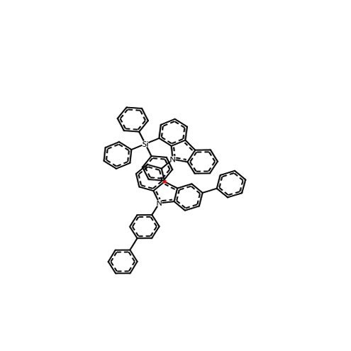 c1ccc(-c2ccc(-n3c4ccc(-c5ccccc5)cc4c4c(-n5c6ccccc6c6cccc([Si](c7ccccc7)(c7ccccc7)c7ccccc7)c65)cccc43)cc2)cc1